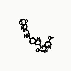 COc1cnc2ncc(=O)n(-c3cnc4c(c3)CCC(NCc3cc5c(nn3)OCCO5)C4)c2c1